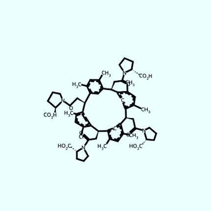 Cc1cc(C)c2cc1[C@H](CC(=O)N1CCC[C@@H]1C(=O)O)c1cc(c(C)cc1C)[C@H](CC(=O)N1CCC[C@@H]1C(=O)O)c1cc(c(C)cc1C)[C@H](CC(=O)N1CCC[C@@H]1C(=O)O)c1cc(c(C)cc1C)[C@@H]2CC(=O)N1CCC[C@@H]1C(=O)O